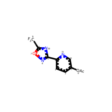 CC(=O)Oc1ccc(-c2noc(C(F)(F)F)n2)nc1